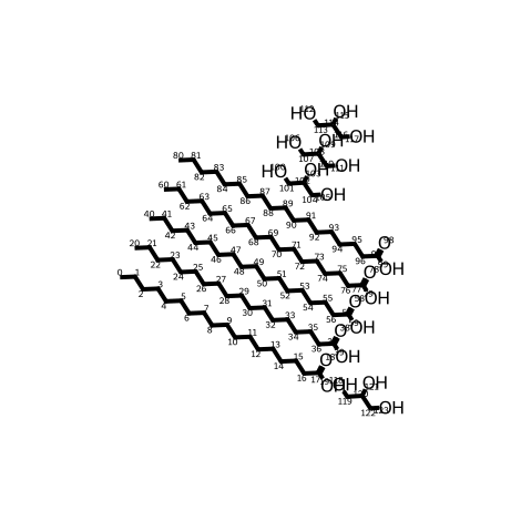 CCCCCCCCCCCCCCCCCC(=O)O.CCCCCCCCCCCCCCCCCC(=O)O.CCCCCCCCCCCCCCCCCC(=O)O.CCCCCCCCCCCCCCCCCC(=O)O.CCCCCCCCCCCCCCCCCC(=O)O.OCC(O)CO.OCC(O)CO.OCC(O)CO.OCC(O)CO